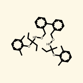 CCC(C)(Oc1c(C)cccc1C)POCc1ccccc1-c1ccccc1COPC(CC)(CC)Oc1c(C)cccc1C